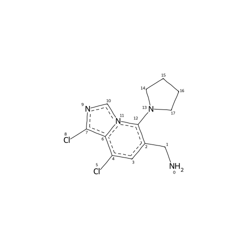 NCc1cc(Cl)c2c(Cl)ncn2c1N1CCCC1